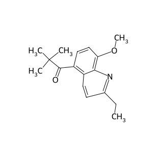 CCc1ccc2c(C(=O)C(C)(C)C)ccc(OC)c2n1